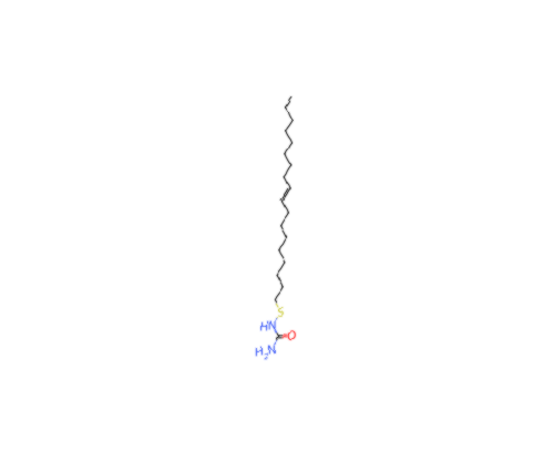 CCCCCCCC/C=C/CCCCCCCCSNC(N)=O